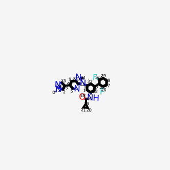 Cn1cc(-c2cnc3c(c2)ncn3-c2cc(NC(=O)C3CC3)cc(-c3c(F)cccc3F)c2)cn1